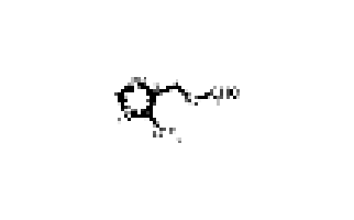 O=COCc1ncsc1C(F)(F)F